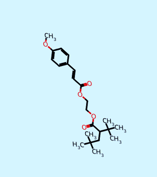 COc1ccc(/C=C/C(=O)OCCOC(=O)C(CC(C)(C)C)C(C)(C)C)cc1